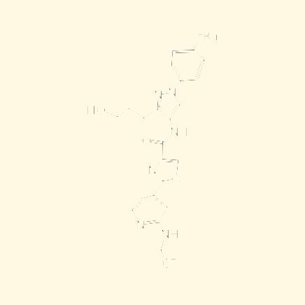 CC(C)(C)c1ccc(-n2cc(NC(=O)c3coc(-c4ccnc(NCC(F)(F)F)c4)n3)c(CCCO)n2)cc1